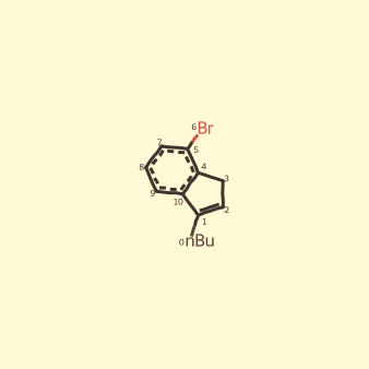 CCCCC1=CCc2c(Br)cccc21